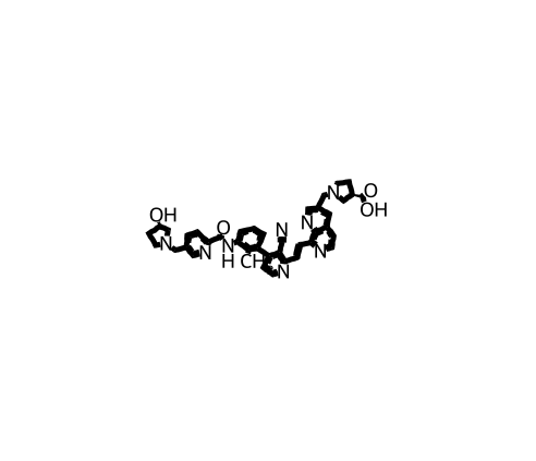 Cc1c(NC(=O)c2ccc(CN3CC[C@@H](O)C3)cn2)cccc1-c1ccnc(/C=C/c2nccc3cc(CN4CC[C@@H](C(=O)O)C4)cnc23)c1C#N